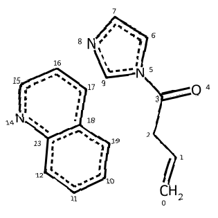 C=CCC(=O)n1ccnc1.c1ccc2ncccc2c1